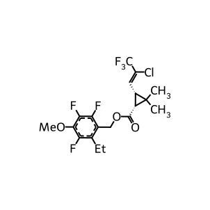 CCc1c(F)c(OC)c(F)c(F)c1COC(=O)[C@@H]1[C@H](/C=C(\Cl)C(F)(F)F)C1(C)C